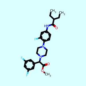 CCC(CC)C(=O)Nc1ccc(N2CCN(C(C(=O)OC)c3cc(F)cc(F)c3)CC2)c(F)c1